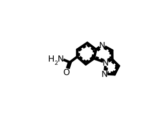 NC(=O)c1ccc2ncc3ccnn3c2c1